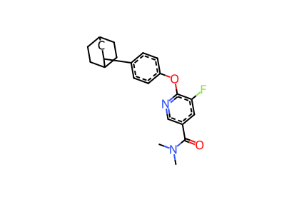 CN(C)C(=O)c1cnc(Oc2ccc(C3CC4CCC3CC4)cc2)c(F)c1